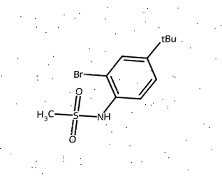 CC(C)(C)c1ccc(NS(C)(=O)=O)c(Br)c1